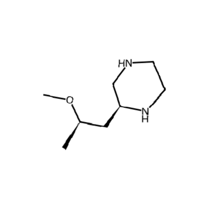 CO[C@H](C)C[C@H]1CNCCN1